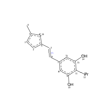 Cc1ccc(/C=C/c2cc(O)c(C(C)C)c(O)c2)s1